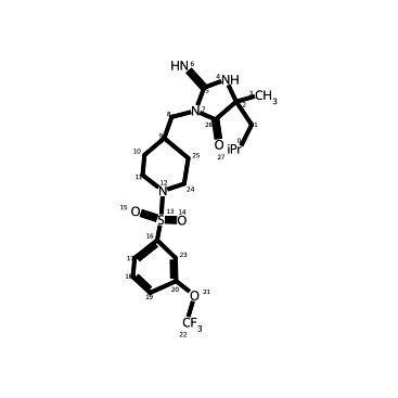 CC(C)CC1(C)NC(=N)N(CC2CCN(S(=O)(=O)c3cccc(OC(F)(F)F)c3)CC2)C1=O